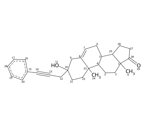 CC12CCC3C(CC=C4CC(O)(CC#Cc5ccccc5)CCC43C)C1CCC2=O